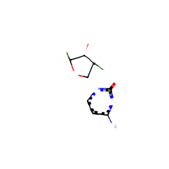 [CH2][C@@]1(F)O[C@@H](n2ccc(N)nc2=O)[C@](C)(F)[C@@H]1O